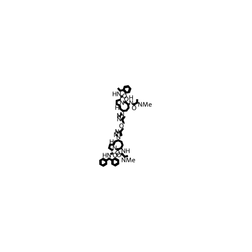 CN[C@@H](C)C(=O)N[C@H]1CC[C@H](n2cc(COCc3cn([C@H]4CC[C@H](NC(=O)[C@H](C)NC)C(=O)N5[C@H](CC[C@H]5C(=O)NC(c5ccccc5)c5ccccc5)C4)nn3)nn2)C[C@H]2CC[C@@H](C(=O)NC(C)c3ccccc3)N2C1=O